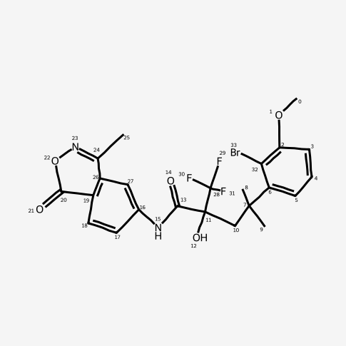 COc1cccc(C(C)(C)CC(O)(C(=O)Nc2ccc3c(=O)onc(C)c3c2)C(F)(F)F)c1Br